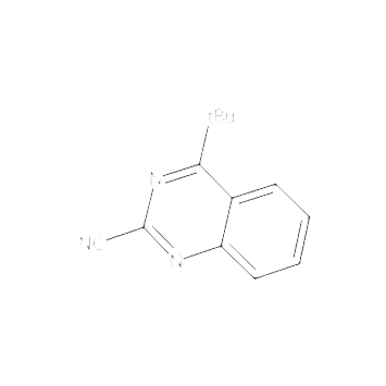 CC(C)(C)c1nc(C#N)nc2ccccc12